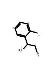 CC(CBr)c1ccccc1Cl